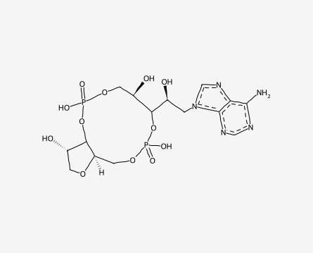 Nc1ncnc2c1ncn2C[C@H](O)C1OP(=O)(O)OC[C@H]2OC[C@H](O)C2OP(=O)(O)OC[C@H]1O